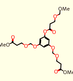 COCOCCC(=O)Oc1cc(OCOCCC(=O)OC)cc(OCOCCC(=O)OC)c1